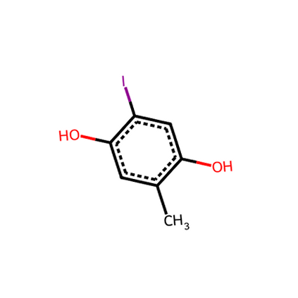 Cc1cc(O)c(I)cc1O